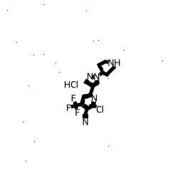 Cl.N#Cc1c(C(F)(F)F)cc(-c2cnn(C3CCNCC3)c2)nc1Cl